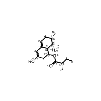 CC[C@H](C)C(=O)O[C@H]1CC(O)=CC2=CC[C@H](C)[C@H](C)[C@H]21